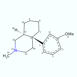 COc1cccc([C@]23CCCC[C@@H]2CN(C)CC3)c1